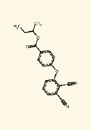 CCC(C)OC(=O)c1ccc(Oc2cccc(C#N)c2C#N)cc1